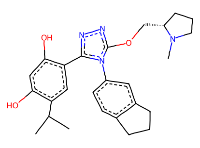 CC(C)c1cc(-c2nnc(OC[C@@H]3CCCN3C)n2-c2ccc3c(c2)CCC3)c(O)cc1O